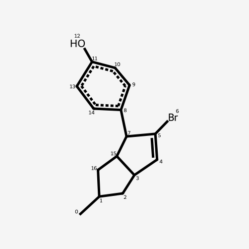 CC1CC2C=C(Br)C(c3ccc(O)cc3)C2C1